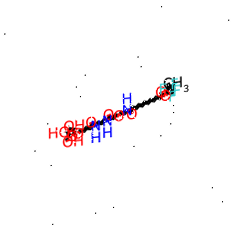 Cc1c(F)c(F)c(F)c(OC(=O)CCCCCCCCCCC(=O)NCCOCCC(=O)NCCCNC(=O)CCCCO[C@H]2C[C@@H](O)[C@@H](O)[C@@H](CO)O2)c1F